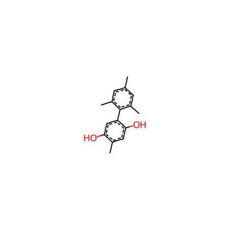 Cc1cc(C)c(-c2cc(O)c(C)cc2O)c(C)c1